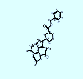 Cc1cc(C(C)Br)c2c(c1)c(=O)n(C)c1c2cnn1C1CCCN(C(=O)OCc2ccccc2)C1